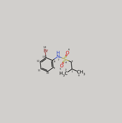 CC(C)CS(=O)(=O)Nc1ccccc1Br